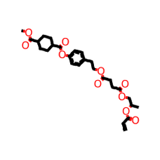 C=CC(=O)OC(C)COC(=O)CCC(=O)OCCc1ccc(OC(=O)C2CCC(C(=O)OC)CC2)cc1